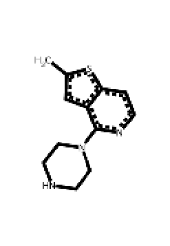 Cc1cc2c(N3CCNCC3)nccc2s1